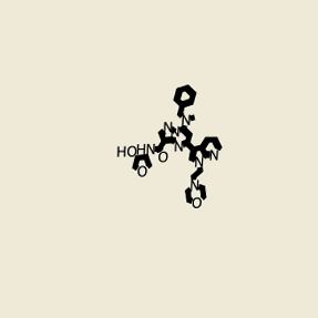 CN(Cc1ccccc1)c1cc(-c2cn(CCN3CCOCC3)c3ncccc23)nc2c(C(=O)N[C@H]3COC[C@H]3O)cnn12